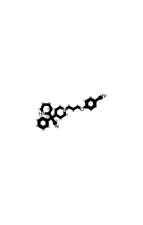 N#Cc1ccc(OCCCN2CCC(C(C#N)(c3ccccc3)C3CCCCN3)CC2)cc1